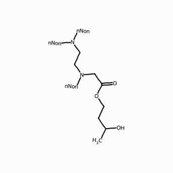 CCCCCCCCCN(CCCCCCCCC)CCN(CCCCCCCCC)CC(=O)OCCC(C)O